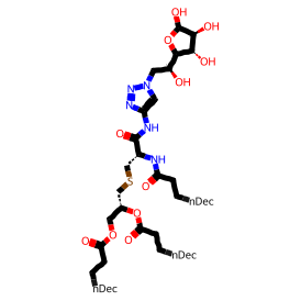 CCCCCCCCCCCCC(=O)N[C@H](CSC[C@@H](COC(=O)CCCCCCCCCCCC)OC(=O)CCCCCCCCCCCC)C(=O)Nc1cn(C[C@H](O)C2OC(O)[C@@H](O)[C@@H]2O)nn1